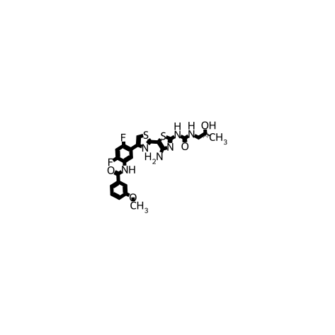 COc1cccc(C(=O)Nc2cc(-c3csc(-c4sc(NC(=O)NC[C@@H](C)O)nc4N)n3)c(F)cc2F)c1